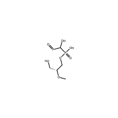 CO[C@H](CO)COP(=O)(O)C(O)P=O